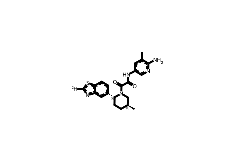 [2H]c1nc2cc([C@H]3CC[C@H](C)CN3C(=O)C(=O)Nc3cnc(N)c(C)c3)ccc2s1